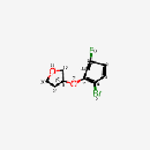 Fc1ccc(Br)c(O[C@H]2CCOC2)c1